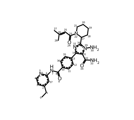 CCc1ccnc(NC(=O)c2ccc(-c3nc(C4CCCCN4C(=O)C=C(C)C)n(N)c3C(N)=O)cc2)c1